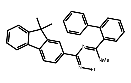 CC/N=C(\N=C(/NC)c1ccccc1-c1ccccc1)c1ccc2c(c1)C(C)(C)c1ccccc1-2